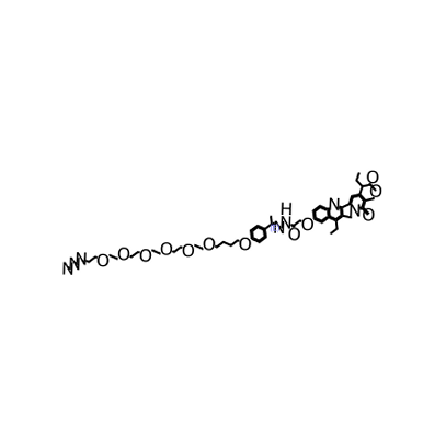 CCc1c2c(nc3ccc(OCC(=O)N/N=C(\C)c4ccc(OCCCCOCCOCCOCCOCCOCCOCCN=[N+]=[N-])cc4)cc13)-c1cc3c(c(=O)n1C2)COC(=O)C3CC